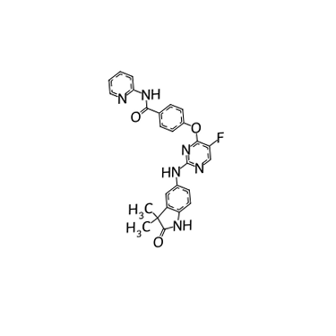 CC1(C)C(=O)Nc2ccc(Nc3ncc(F)c(Oc4ccc(C(=O)Nc5ccccn5)cc4)n3)cc21